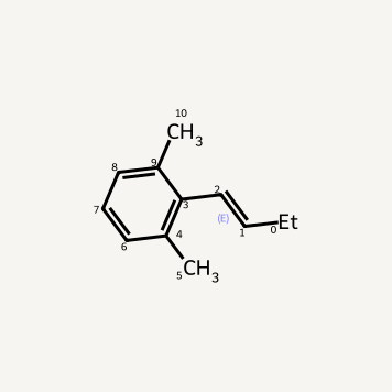 [CH2]C/C=C/c1c(C)cccc1C